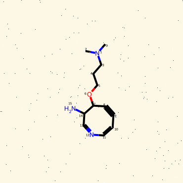 CN(C)CCCOC1C#C/C=C\N=C/C1N